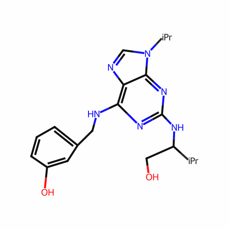 CC(C)C(CO)Nc1nc(NCc2cccc(O)c2)c2ncn(C(C)C)c2n1